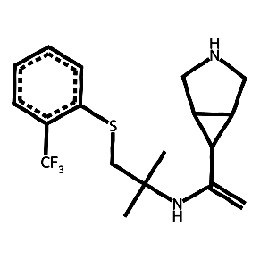 C=C(NC(C)(C)CSc1ccccc1C(F)(F)F)C1C2CNCC21